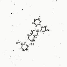 Cc1cc(-c2nn(C)cc2-c2cnc3ccc(Nc4cc(C(C)C)cnn4)nc3c2)ccn1